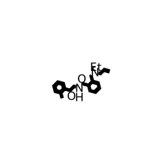 C=CCN(CC)CC1=CC=CCC1C(=O)NCC(=O)c1ccccc1C